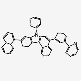 C1=CC2C=CC=C(C3=Cc4c(c5c6ccccc6c(C6=CC(c7ccccn7)=CCC6)cc5n4-c4ccccc4)CC3)C2C=C1